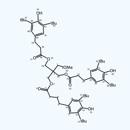 COCC(COC(=O)CCCc1cc(C(C)(C)C)c(O)c(C(C)(C)C)c1)(COC(=O)CCc1cc(C(C)(C)C)c(O)c(C(C)(C)C)c1)COC(=O)CCc1cc(C(C)(C)C)c(O)c(C(C)(C)C)c1